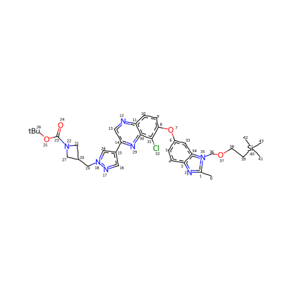 Cc1nc2ccc(Oc3ccc4ncc(-c5cnn(CC6CN(C(=O)OC(C)(C)C)C6)c5)nc4c3Cl)cc2n1COCC[Si](C)(C)C